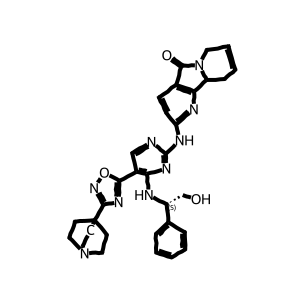 O=C1c2ccc(Nc3ncc(-c4nc(C56CCN(CC5)CC6)no4)c(N[C@H](CO)c4ccccc4)n3)nc2C2CC=CCN12